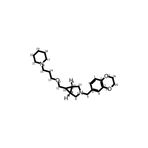 c1cc2c(cc1CN1C[C@@H]3C(COCCCN4CCCCC4)[C@@H]3C1)OCCO2